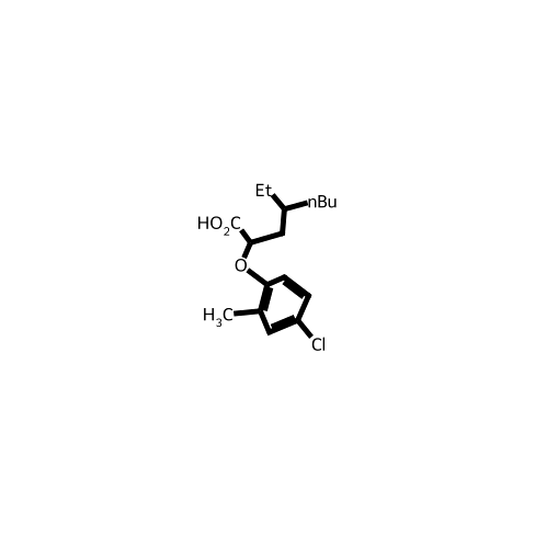 CCCCC(CC)CC(Oc1ccc(Cl)cc1C)C(=O)O